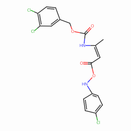 CC(=CC(=O)ONc1ccc(Cl)cc1)NC(=O)OCc1ccc(Cl)c(Cl)c1